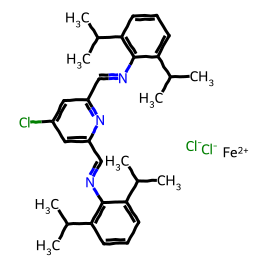 CC(C)c1cccc(C(C)C)c1N=Cc1cc(Cl)cc(C=Nc2c(C(C)C)cccc2C(C)C)n1.[Cl-].[Cl-].[Fe+2]